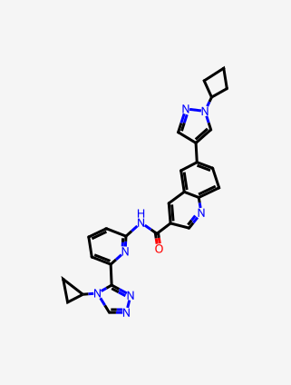 O=C(Nc1cccc(-c2nncn2C2CC2)n1)c1cnc2ccc(-c3cnn(C4CCC4)c3)cc2c1